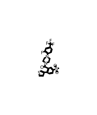 CS(=O)(=O)c1ccc(-c2ccsc2)c(C(=O)N2CCN(c3ccc(C(F)(F)F)cc3F)CC2)c1